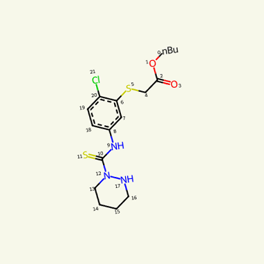 CCCCOC(=O)CSc1cc(NC(=S)N2CCCCN2)ccc1Cl